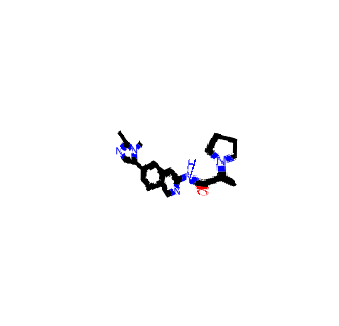 Cc1ncc(-c2ccc3cnc(NC(=O)C(C)N4CCCC4)cc3c2)n1C